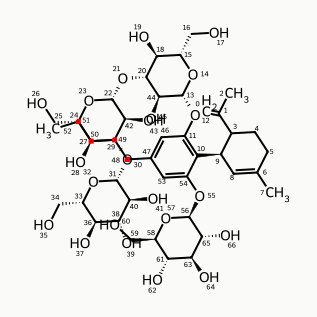 C=C(C)C1CCC(C)=C[C@H]1c1c(O[C@H]2O[C@@H](CO)[C@H](O)[C@@H](O[C@H]3O[C@@H](CO)[C@H](O)[C@@H](O[C@H]4O[C@@H](CO)[C@H](O)[C@@H](O)[C@@H]4O)[C@@H]3O)[C@@H]2O)cc(CCCCC)cc1O[C@@H]1O[C@H](CO)[C@@H](O)[C@H](O)[C@H]1O